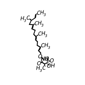 CC=CC(C)C/C(C)=C/CC/C(C)=C/CC/C(C)=C/CONC(=O)C(C)P(=O)(O)O